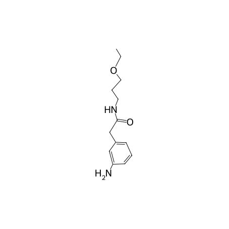 CCOCCCNC(=O)Cc1cccc(N)c1